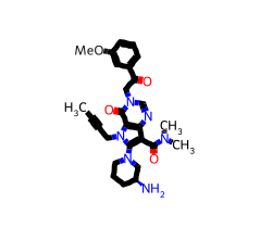 CC#CCn1c(N2CCC[C@H](N)C2)c(C(=O)N(C)C)c2ncn(CC(=O)c3cccc(OC)c3)c(=O)c21